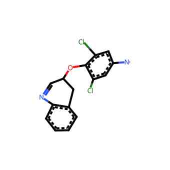 [N]c1cc(Cl)c(OC2C=Nc3ccccc3C2)c(Cl)c1